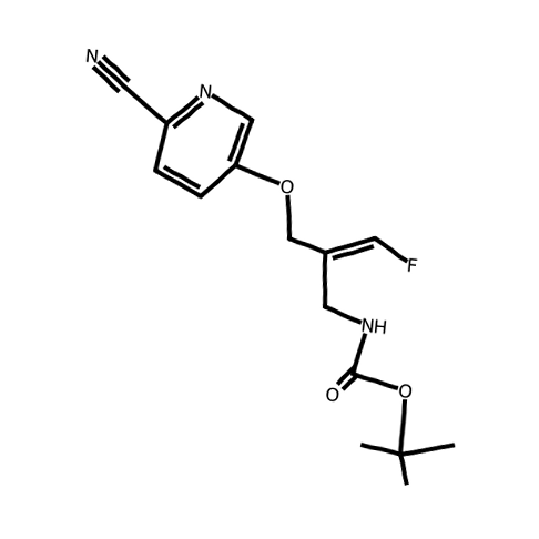 CC(C)(C)OC(=O)NCC(=CF)COc1ccc(C#N)nc1